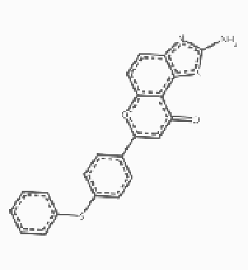 Nc1nc2ccc3oc(-c4ccc(Sc5ccccc5)cc4)cc(=O)c3c2s1